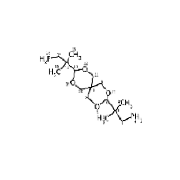 CC(C)(CP)C1OCC2(CO1)COC(C(C)(C)CP)OC2